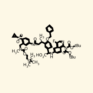 C[C@@H](CC(=O)Nc1ccc(S(=O)(=O)C2CC2)c(CN(C)C(=O)OCC[Si](C)(C)C)c1)c1cc(C(Nc2ccc3c(N(C(=O)OC(C)(C)C)C(=O)OC(C)(C)C)ncc(F)c3c2)C(=O)O)ccc1OCc1ccccc1